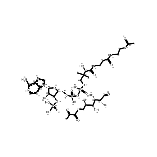 CC(=O)C(=O)OC[C@@H](O)[C@@H](O)[C@H](O)[C@@H](O)C=O.CC(=O)SCCNC(=O)CCNC(=O)[C@H](O)C(C)(C)COP(=O)(O)OP(=O)(O)OC[C@H]1O[C@@H](n2cnc3c(N)ncnc32)[C@H](O)[C@@H]1OP(=O)(O)O